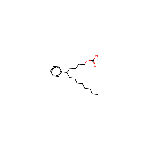 CCCCCCCCC(CCCCOC(=O)O)c1ccccc1